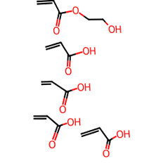 C=CC(=O)O.C=CC(=O)O.C=CC(=O)O.C=CC(=O)O.C=CC(=O)OCCO